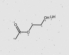 CC(=O)OCCO.[LiH]